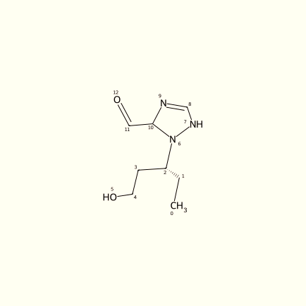 CC[C@H](CCO)N1NC=NC1C=O